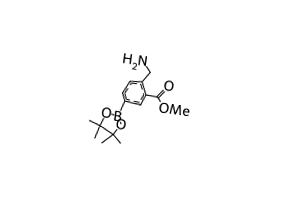 COC(=O)c1cc(B2OC(C)(C)C(C)(C)O2)ccc1CN